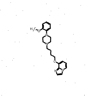 COc1ccccc1N1CCN(CCCCOc2cccn3ccnc23)CC1